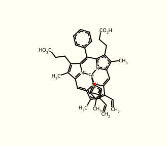 C=CC1=C(C)C2=[N+]3C1=Cc1c(C)c(CCC(=O)O)c4[n]1[Fe]31[n]3c(c(C)c(C=C)c3=C2)=CC2=[N+]1C(=C4c1ccccc1)C(CCC(=O)O)=C2C